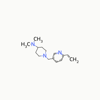 C=Cc1ccc(CN2CCC(N(C)C)CC2)cn1